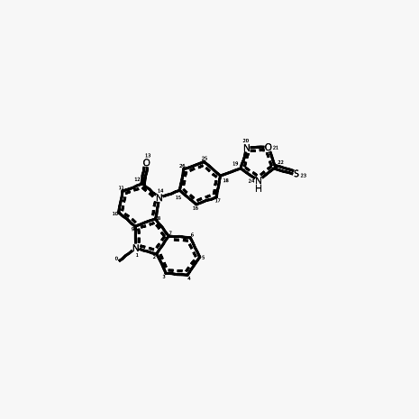 Cn1c2ccccc2c2c1ccc(=O)n2-c1ccc(-c2noc(=S)[nH]2)cc1